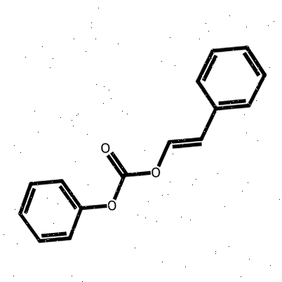 O=C(OC=Cc1ccccc1)Oc1ccccc1